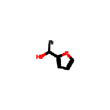 CC(C)C(O)c1ccco1